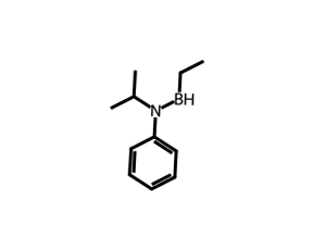 CCBN(c1ccccc1)C(C)C